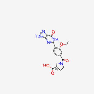 CCOc1cc(C(=O)N2CC[C@@H](C(=O)O)C2)ccc1-c1nc2[nH]cnc2c(=O)[nH]1